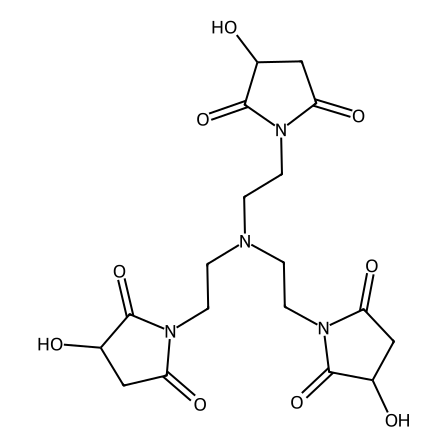 O=C1CC(O)C(=O)N1CCN(CCN1C(=O)CC(O)C1=O)CCN1C(=O)CC(O)C1=O